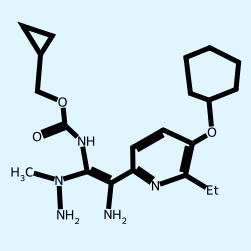 CCc1nc(/C(N)=C(\NC(=O)OCC2CC2)N(C)N)ccc1OC1CCCCC1